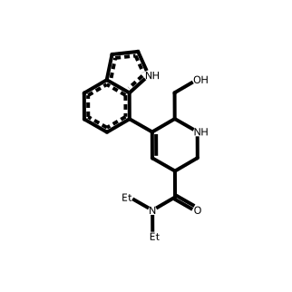 CCN(CC)C(=O)C1C=C(c2cccc3cc[nH]c23)C(CO)NC1